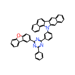 c1ccc(-c2nc(-c3cccc(-n4c5cc6ccccc6cc5c5ccc6ccccc6c54)c3)nc(-c3ccc4oc5ccccc5c4c3)n2)cc1